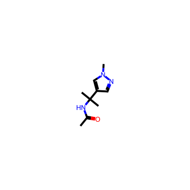 CC(=O)NC(C)(C)c1cnn(C)c1